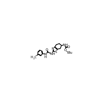 Cc1cccc(NC(=O)Nc2nc3c(s2)CC(NC(=O)OC(C)(C)C)CC3)c1